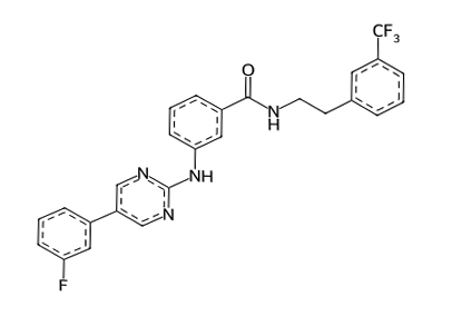 O=C(NCCc1cccc(C(F)(F)F)c1)c1cccc(Nc2ncc(-c3cccc(F)c3)cn2)c1